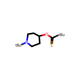 CC(C)(C)C(=S)OC1CCN(C(C)(C)C)CC1